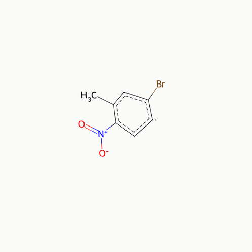 Cc1cc(Br)[c]cc1[N+](=O)[O-]